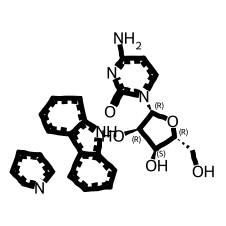 Nc1ccn([C@@H]2O[C@H](CO)[C@@H](O)[C@H]2O)c(=O)n1.c1ccc2c(c1)[nH]c1ccccc12.c1ccncc1